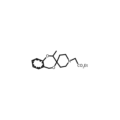 CCOC(=O)CN1CCC2(CC1)OCc1ccccc1OC2C